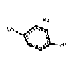 Cc1ccc(C)cc1.[Na]